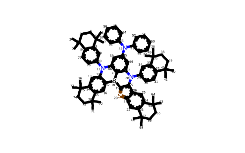 CC1(C)CCC(C)(C)c2cc(N3c4cc5c(cc4B4c6sc7cc8c(cc7c6N(c6ccc7c(c6)C(C)(C)CCC7(C)C)c6cc(N(c7ccccc7)c7ccccc7)cc3c64)C(C)(C)CCC8(C)C)C(C)(C)CCC5(C)C)ccc21